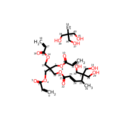 C=CC(=O)OCC(COC(=O)C=C)(COC(=O)C=C)COC(=O)C=CC(C)C(CO)(CO)CO.CCC(CO)(CO)CO